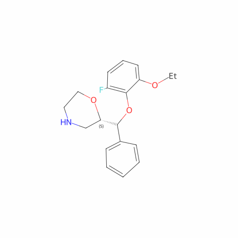 CCOc1cccc(F)c1OC(c1ccccc1)[C@@H]1CNCCO1